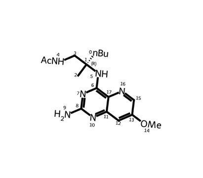 CCCC[C@](C)(CNC(C)=O)Nc1nc(N)nc2cc(OC)cnc12